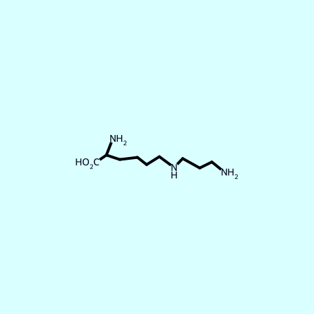 NCCCNCCCCC(N)C(=O)O